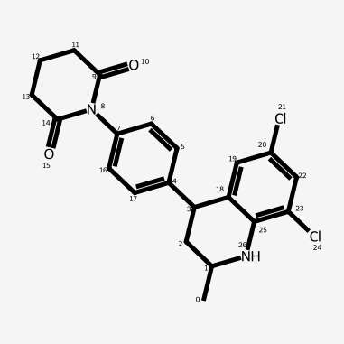 CC1CC(c2ccc(N3C(=O)CCCC3=O)cc2)c2cc(Cl)cc(Cl)c2N1